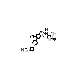 Cc1c(Nc2ncc3cc(Cl)c(C4CCN([C@H]5CC[C@@H](CC#N)C5)CC4)cc3n2)cnn1C1CC1